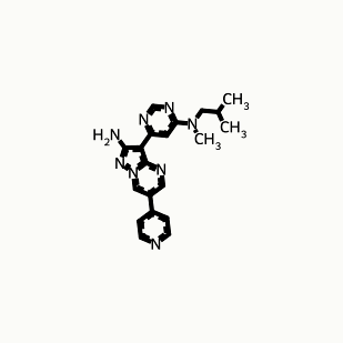 CC(C)CN(C)c1cc(-c2c(N)nn3cc(-c4ccncc4)cnc23)ncn1